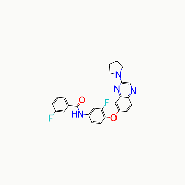 O=C(Nc1ccc(Oc2ccc3ncc(N4CCCC4)nc3c2)c(F)c1)c1cccc(F)c1